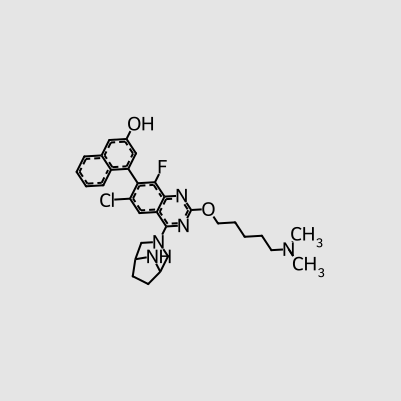 CN(C)CCCCCOc1nc(N2CC3CCC(C2)N3)c2cc(Cl)c(-c3cc(O)cc4ccccc34)c(F)c2n1